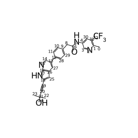 Cc1ncc(NC(=O)Cc2ccc(-c3cnc4[nH]c(C#CC(C)(C)O)cc4c3)cc2)cc1C(F)(F)F